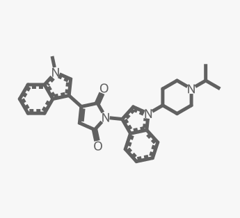 CC(C)N1CCC(n2cc(N3C(=O)C=C(c4cn(C)c5ccccc45)C3=O)c3ccccc32)CC1